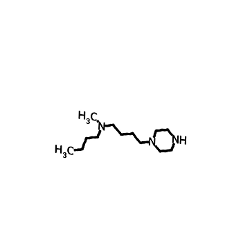 CCCCN(C)CCCCN1CCNCC1